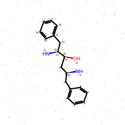 [NH][C@@H](Cc1ccccc1)C[C@H](O)[C@@H]([NH])Cc1ccccc1